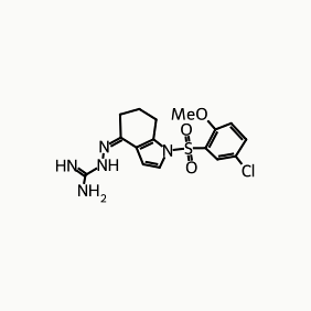 COc1ccc(Cl)cc1S(=O)(=O)n1ccc2c1CCC/C2=N/NC(=N)N